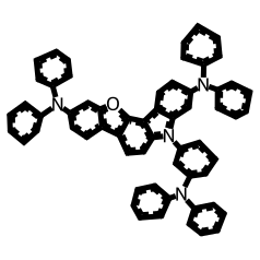 c1ccc(N(c2ccccc2)c2cccc(-n3c4cc(N(c5ccccc5)c5ccccc5)ccc4c4c5oc6cc(N(c7ccccc7)c7ccccc7)ccc6c5ccc43)c2)cc1